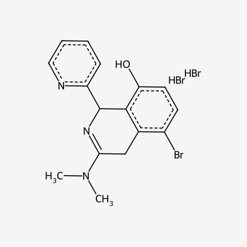 Br.Br.CN(C)C1=NC(c2ccccn2)c2c(O)ccc(Br)c2C1